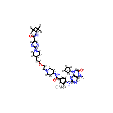 COc1cc(C(=O)NC2CCN(CCOCCC3CCN(c4ncc(C(=O)NC5C(C)(C)CC5(C)C)cn4)CC3)CC2)ccc1Nc1ncc2c(n1)N(C1CCCC1)CC(=O)N2C